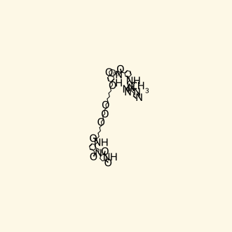 Cn1c(CNc2cccc(C(=O)N[C@@H]3CCOc4ccc(OCCCCCCOCCOCCOCCCCCC(=O)Nc5cccc6c5CN(C5CCC(=O)NC5=O)C6=O)cc43)c2)nnc1-c1ccncn1